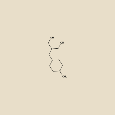 CN1CCN(CC(CO)CO)CC1